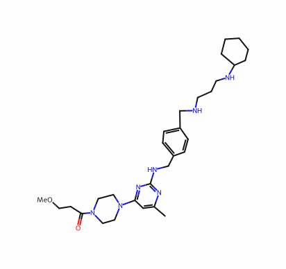 COCCC(=O)N1CCN(c2cc(C)nc(NCc3ccc(CNCCCNC4CCCCC4)cc3)n2)CC1